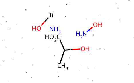 CC(O)C(=O)O.N.NO.[OH][Ti]